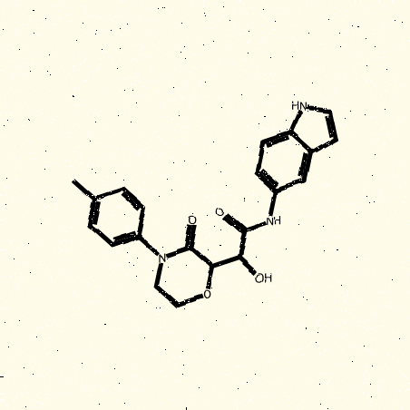 Cc1ccc(N2CCOC(C(O)C(=O)Nc3ccc4[nH]ccc4c3)C2=O)cc1